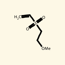 C=CS(=O)(=O)CCOC